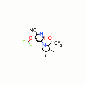 C[C@@H]1[C@H]([C@H](O)C(F)(F)F)N(c2cnc(C#N)c(OC(F)F)c2)C[C@@H]1C